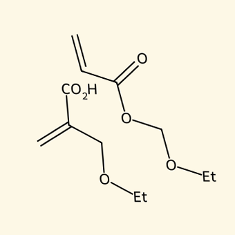 C=C(COCC)C(=O)O.C=CC(=O)OCOCC